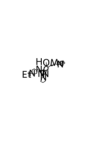 CCN1CCC(Nc2nc(N3CCCCC3)nc3cc(C#CCCN4CCCC4)c(OC)cc23)CC1